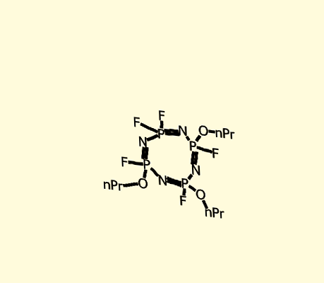 CCCOP1(F)=NP(F)(F)=NP(F)(OCCC)=NP(F)(OCCC)=N1